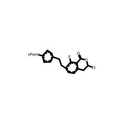 CCCCCc1ccc(CCc2ccc3c(c2F)C(=O)OC(CC)C3)cc1